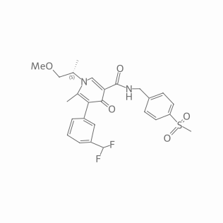 COC[C@H](C)n1cc(C(=O)NCc2ccc(S(C)(=O)=O)cc2)c(=O)c(-c2cccc(C(F)F)c2)c1C